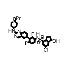 CCCN1CCC(Nc2ncc3cc(-c4c(F)ccc(NS(=O)(=O)c5cc(Cl)cc6c5CCC6O)c4F)ccc3n2)CC1